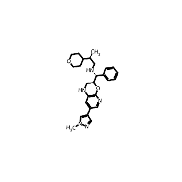 C[C@@H](CN[C@H](c1ccccc1)[C@@H]1CNc2cc(-c3cnn(C)c3)cnc2O1)C1CCOCC1